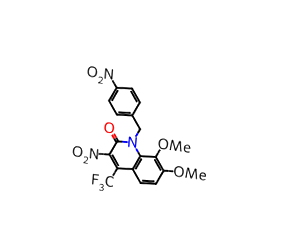 COc1ccc2c(C(F)(F)F)c([N+](=O)[O-])c(=O)n(Cc3ccc([N+](=O)[O-])cc3)c2c1OC